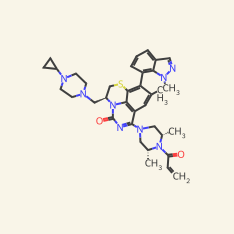 C=CC(=O)N1[C@H](C)CN(c2nc(=O)n3c4c(c(-c5cccc6cnn(C)c56)c(C)cc24)SC[C@@H]3CN2CCN(C3CC3)CC2)C[C@@H]1C